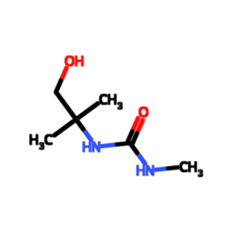 CNC(=O)NC(C)(C)CO